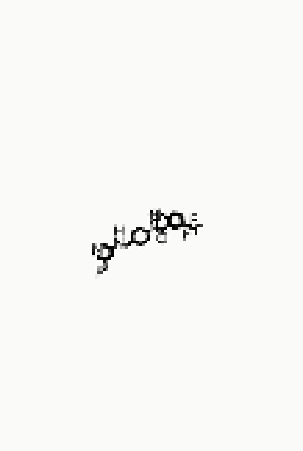 O=C(NC1CCC(CNc2cncc(CF)c2)CC1)c1cc(C(F)(F)F)ccc1Cl